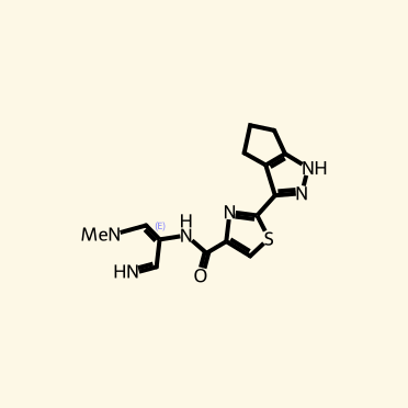 CN/C=C(\C=N)NC(=O)c1csc(-c2n[nH]c3c2CCC3)n1